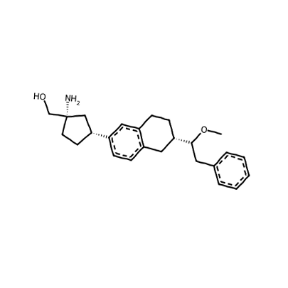 COC(Cc1ccccc1)[C@H]1CCc2cc([C@@H]3CC[C@@](N)(CO)C3)ccc2C1